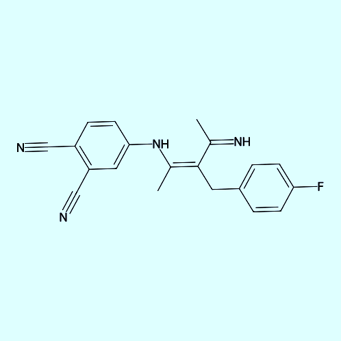 CC(=N)/C(Cc1ccc(F)cc1)=C(/C)Nc1ccc(C#N)c(C#N)c1